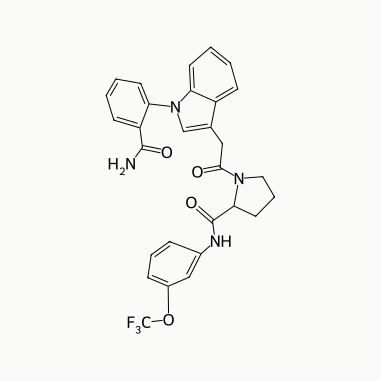 NC(=O)c1ccccc1-n1cc(CC(=O)N2CCCC2C(=O)Nc2cccc(OC(F)(F)F)c2)c2ccccc21